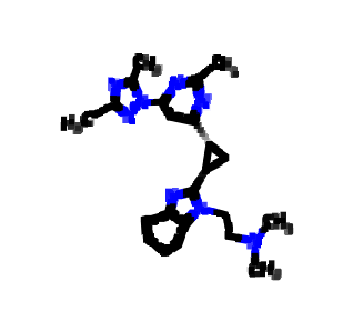 Cc1nc([C@@H]2C[C@H]2c2nc3ccccc3n2CCN(C)C)cc(-n2nc(C)nc2C)n1